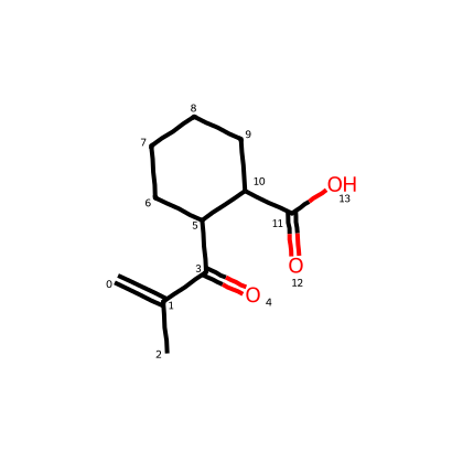 C=C(C)C(=O)C1CCCCC1C(=O)O